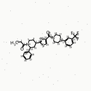 CCC(=O)N1CCC(c2nc(C(=O)N3CCN(c4cccc(C(F)(F)F)c4)CC3)cs2)CC1c1ccccc1